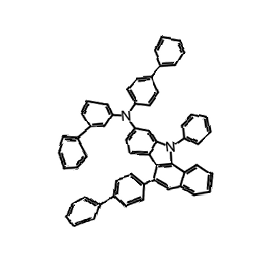 c1ccc(-c2ccc(-c3cc4ccccc4c4c3c3ccc(N(c5ccc(-c6ccccc6)cc5)c5cccc(-c6ccccc6)c5)cc3n4-c3ccccc3)cc2)cc1